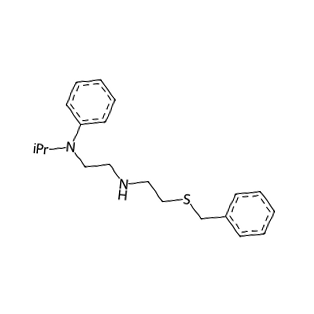 CC(C)N(CCNCCSCc1ccccc1)c1ccccc1